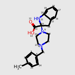 Cc1ccc(CN2CCN([C@]3(C(=O)O)Cc4ccccc4N3)CC2)cc1